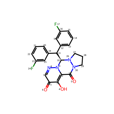 O=C1c2c(O)c(=O)cnn2[C@@H](C(c2cccc(F)c2)c2cccc(F)c2)N2CCCN12